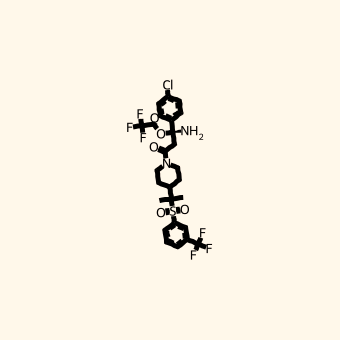 CC(C)(C1CCN(C(=O)C[C@](N)(OC(=O)C(F)(F)F)c2ccc(Cl)cc2)CC1)S(=O)(=O)c1cccc(C(F)(F)F)c1